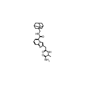 CC(NC(=O)Cc1cn2c(C(=O)NCC34CC5CC(CC(C5)C3)C4)cccc2n1)C(N)=O